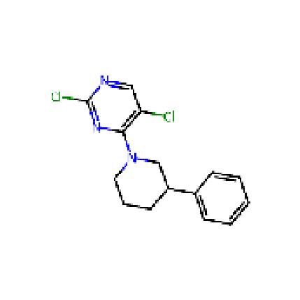 Clc1ncc(Cl)c(N2CCCC(c3ccccc3)C2)n1